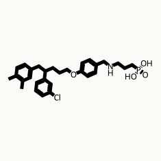 Cc1ccc(CC(CCCOc2ccc(CNCCCP(=O)(O)O)cc2)c2cccc(Cl)c2)cc1C